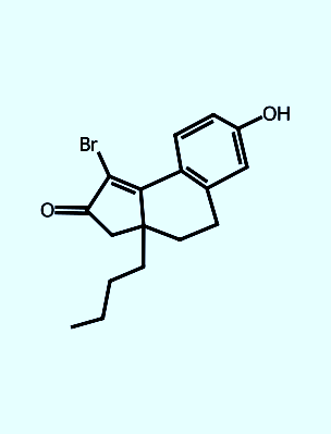 CCCCC12CCc3cc(O)ccc3C1=C(Br)C(=O)C2